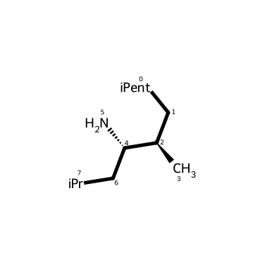 CCCC(C)C[C@@H](C)[C@@H](N)CC(C)C